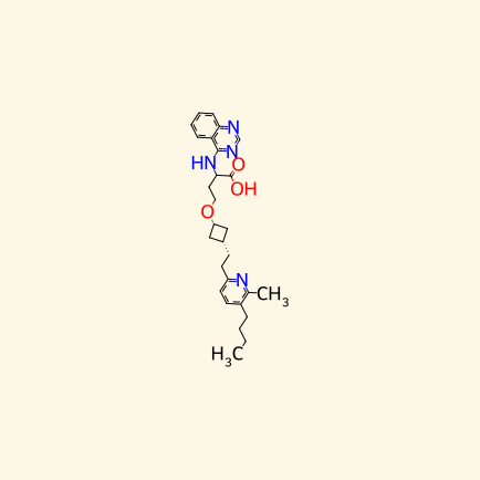 CCCCc1ccc(CC[C@H]2C[C@@H](OCCC(Nc3ncnc4ccccc34)C(=O)O)C2)nc1C